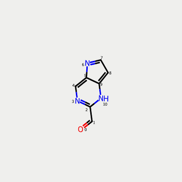 O=Cc1ncc2nccc-2[nH]1